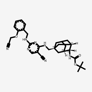 CC(C)(C)OC(=O)N[C@@H]1[C@@H]2CC3C[C@H]1C[C@@](CNc1nc(NCc4ccccc4OCC#N)ncc1C#N)(C3)C2